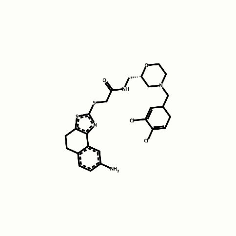 Nc1ccc2c(c1)-c1nc(SCC(=O)NC[C@H]3CN(CC4C=C(Cl)C(Cl)=CC4)CCO3)sc1CC2